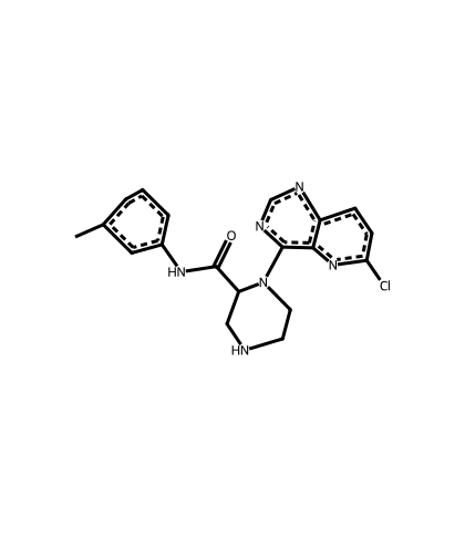 Cc1cccc(NC(=O)C2CNCCN2c2ncnc3ccc(Cl)nc23)c1